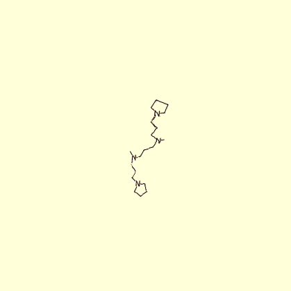 CN(CCCN(C)CCCN1CCCC1)CCCN1CCCC1